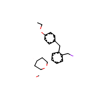 CCOc1ccc(Cc2cc([C@H]3C[C@@H](O)C[C@@H](CO)O3)ccc2CI)cc1